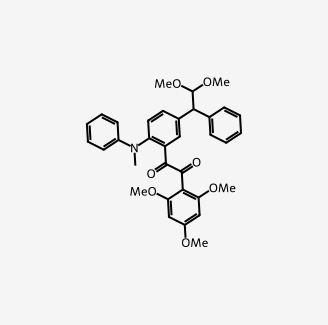 COc1cc(OC)c(C(=O)C(=O)c2cc(C(c3ccccc3)C(OC)OC)ccc2N(C)c2ccccc2)c(OC)c1